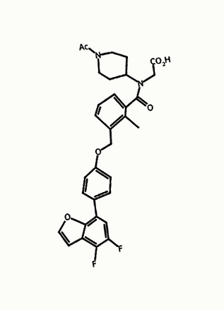 CC(=O)N1CCC(N(CC(=O)O)C(=O)c2cccc(COc3ccc(-c4cc(F)c(F)c5ccoc45)cc3)c2C)CC1